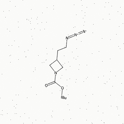 CC(C)(C)OC(=O)N1CC(CCN=[N+]=[N-])C1